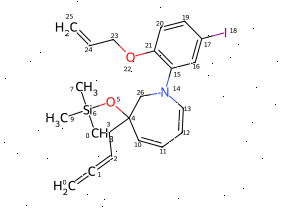 C=C=CCC1(O[Si](C)(C)C)C=CC=CN(c2cc(I)ccc2OCC=C)C1